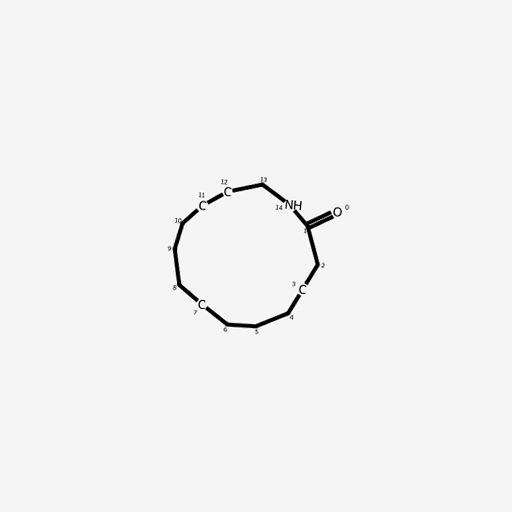 O=C1CCCCCCCCCCCCN1